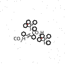 O=C(O)c1ccccc1SSc1ccccc1C(=O)O.c1ccc(C[PH](c2ccccc2)(c2ccccc2)c2ccccc2)cc1.c1ccc(C[PH](c2ccccc2)(c2ccccc2)c2ccccc2)cc1